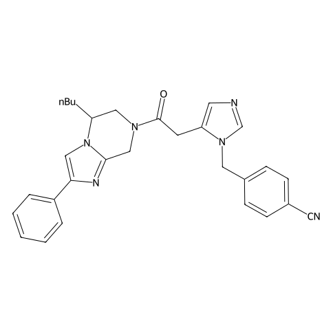 CCCCC1CN(C(=O)Cc2cncn2Cc2ccc(C#N)cc2)Cc2nc(-c3ccccc3)cn21